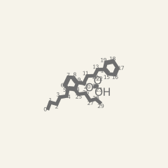 CCCCCc1cccc(C(CCCc2ccccc2)OC(=O)O)c1CCCCC